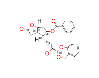 O=C1C[C@@H]2[C@@H](/C=C/C(=O)[C@@H]3OCc4ccccc4O3)[C@H](OC(=O)c3ccccc3)C[C@@H]2O1